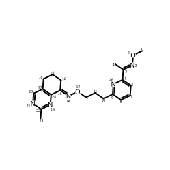 CO/N=C(\C)c1cccc(CCCO/N=C2\CCCc3cnc(C)nc32)n1